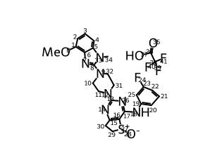 COc1cccc2c1nc(N1CCN(c3nc4c(c(Nc5cccc(F)c5)n3)[S+]([O-])CC4)CC1)n2C.O=C(O)C(F)(F)F